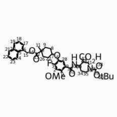 COc1cc(F)c(OC2CCC(C)(C(=O)OCc3cccc4ccccc34)CC2)cc1C(=O)N[C@@H]1CCN(C(=O)OC(C)(C)C)C[C@@H]1C(=O)O